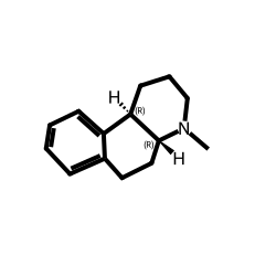 CN1CCC[C@@H]2c3ccccc3CC[C@H]21